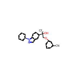 N#Cc1cccc(OCC(O)(c2ccc3c(cnn3-c3ccccc3)c2)C(F)(F)F)c1